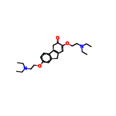 CCN(CC)CCOC1=CC2=C(CC1=O)c1ccc(OCCN(CC)CC)cc1C2